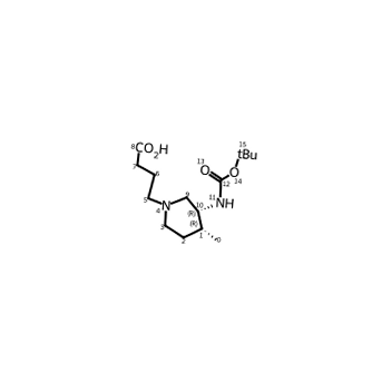 C[C@@H]1CCN(CCCC(=O)O)C[C@@H]1NC(=O)OC(C)(C)C